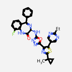 CCc1ncc(-c2sc(C3(C)CC3)nc2-c2nnc(N[C@@H]3N=C(c4ccccc4)c4cccc(F)c4NC3=O)o2)cn1